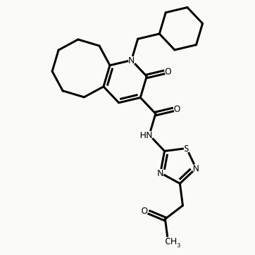 CC(=O)Cc1nsc(NC(=O)c2cc3c(n(CC4CCCCC4)c2=O)CCCCCC3)n1